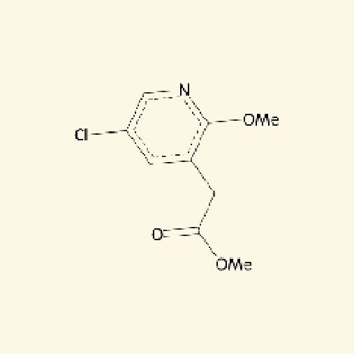 COC(=O)Cc1cc(Cl)cnc1OC